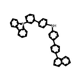 c1cc(-c2ccc(Nc3ccc(-c4ccc(-c5cccc6ccccc56)cc4)cc3)cc2)cc(-n2c3ccccc3c3ccccc32)c1